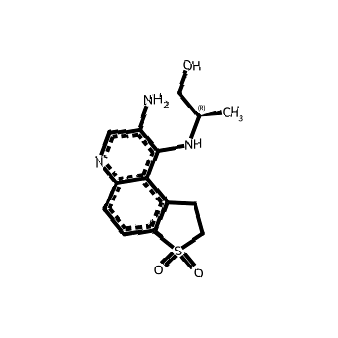 C[C@H](CO)Nc1c(N)cnc2ccc3c(c12)CCS3(=O)=O